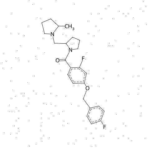 CC1CCCN1CC1CCCN1C(=O)c1ccc(OCc2ccc(F)cc2)cc1F